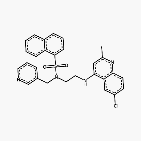 Cc1cc(NCCN(Cc2cccnc2)S(=O)(=O)c2cccc3ccccc23)c2cc(Cl)ccc2n1